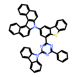 c1ccc(-c2nc(-c3cc(-n4c5ccc6ccccc6c5c5c6ccccc6ccc54)cc4c3sc3ccccc34)nc(-n3c4ccccc4c4ccccc43)n2)cc1